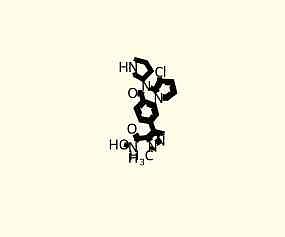 Cn1ncc(-c2ccc(C(=O)N(c3ncccc3Cl)[C@@H]3CCCNC3)cc2)c1C(=O)NO